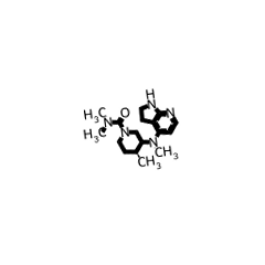 C[C@@H]1CCN(C(=O)N(C)C)CC1N(C)c1ccnc2c1CCN2